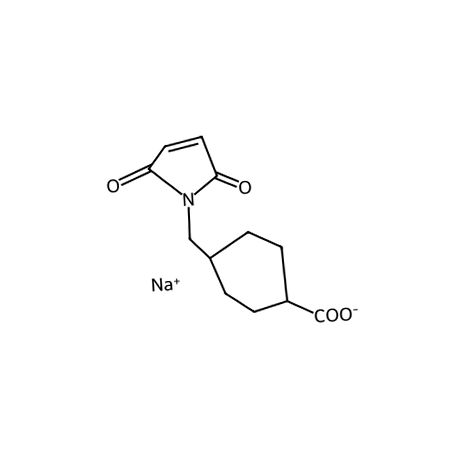 O=C([O-])C1CCC(CN2C(=O)C=CC2=O)CC1.[Na+]